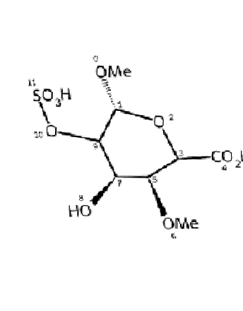 CO[C@@H]1OC(C(=O)O)[C@@H](OC)[C@@H](O)C1OS(=O)(=O)O